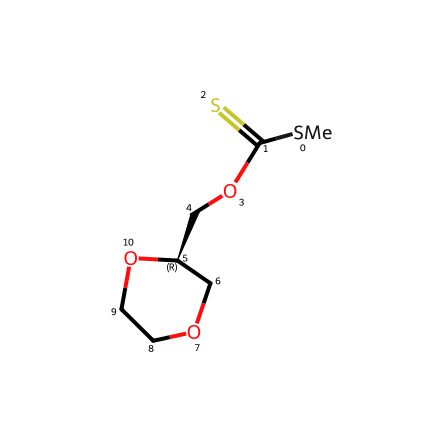 C[SH2]C(=S)OC[C@H]1COCCO1